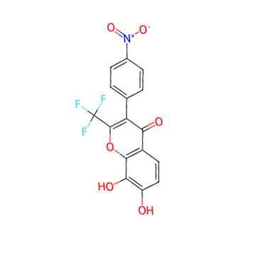 O=c1c(-c2ccc([N+](=O)[O-])cc2)c(C(F)(F)F)oc2c(O)c(O)ccc12